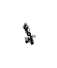 CC(C)(C)OC(=O)/N=C(\NC(=O)OC(C)(C)C)Nc1ccc(OC(=O)C2(C)COC(=O)OC2)cc1